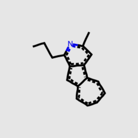 CCCc1nc(C)cc2c3cccccc-3cc12